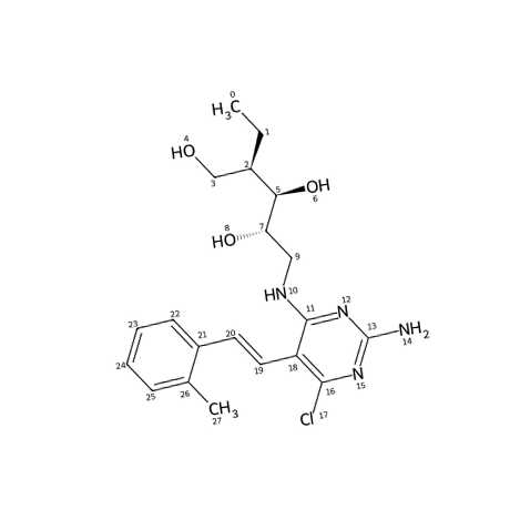 CC[C@H](CO)[C@@H](O)[C@@H](O)CNc1nc(N)nc(Cl)c1/C=C/c1ccccc1C